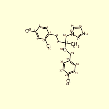 CC(CCc1ccc(Cl)cc1Cl)(Cn1ccnc1)OCc1ccc(Cl)cc1